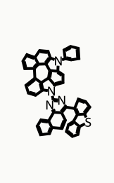 c1ccc(-n2c3ccc4cccc5c4c3c3c4c6c-5cccc6n(-c5nc(-c6cccc7sc8ccccc8c67)c6ccc7ccccc7c6n5)c4ccc32)cc1